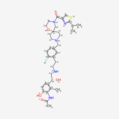 CC(=O)Nc1c(O)ccc([C@@H](O)CNCCc2cc(CN3CCC4(CC3)CN(C(=O)c3csc(C(C)C)n3)CCO4)ccc2F)c1C